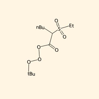 CCCCC(C(=O)OOOC(C)(C)C)S(=O)(=O)CC